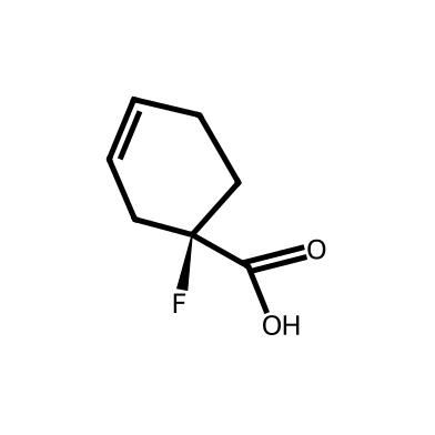 O=C(O)[C@]1(F)CC=CCC1